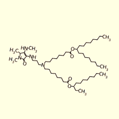 CCCCCCCCC(CC)OC(=O)CCCCCCCN(CCCCCCCC(=O)OC(CCCCCCCC)CCCCCCCC)CCCNC1=C(NC)C(C)N(C)C1=O